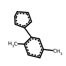 Cc1ccc(C)c(-c2ccccc2)c1